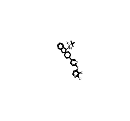 CC(C)(C)[S@@+]([O-])N[C@@H]1c2ccccc2CC12CCC(c1ccc(Sc3ccnc(Cl)c3Cl)nc1)CC2